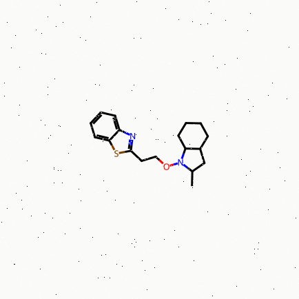 CC1CC2CCCCC2N1OCCc1nc2ccccc2s1